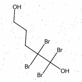 OCCCC(Br)(Br)C(O)(Br)Br